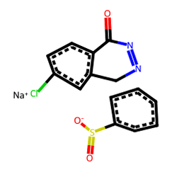 O=C1N=NCc2cc(Cl)ccc21.O=S([O-])c1ccccc1.[Na+]